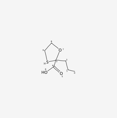 C[CH]CC1(C(=O)O)OCCS1